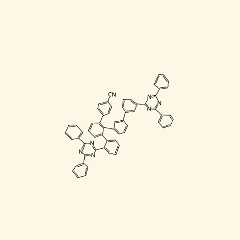 N#Cc1ccc(-c2cccc(-c3ccccc3-c3nc(-c4ccccc4)nc(-c4ccccc4)n3)c2-c2cccc(-c3cccc(-c4nc(-c5ccccc5)nc(-c5ccccc5)n4)c3)c2)cc1